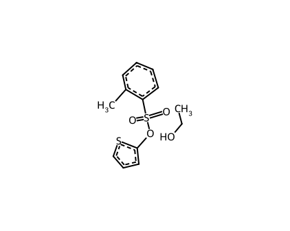 CCO.Cc1ccccc1S(=O)(=O)Oc1cccs1